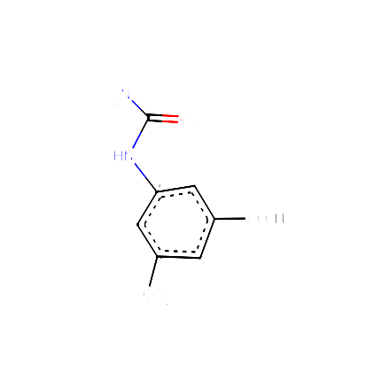 NC(=O)Nc1cc(C(=O)O)cc(C(=O)O)c1